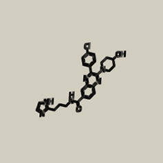 O=C(NCCCc1ncc[nH]1)c1ccc2nc(N3CCC(O)CC3)c(-c3ccc(Cl)cc3)nc2c1